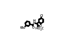 CC(C)(C)c1cccc(C(=O)Nc2c(C(=O)O)oc3ccc(Cl)cc23)c1